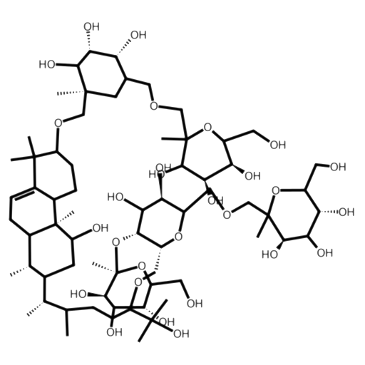 CC(CCC(OC[C@H]1OC(COCC2(C)OC(CO)[C@H](O)C(O)[C@H]2O)[C@H](O)C(O)[C@H]1O[C@@]1(C)OC(CO)[C@H](O)C(O)[C@H]1O)C(C)(C)O)[C@H](C)C1CC(O)[C@]2(C)C3CCC(OC[C@]4(C)CC(COCC5(C)OC(CO)[C@@H](O)[C@@H](O)C5O)[C@@H](O)[C@@H](O)C4O)C(C)(C)C3=CCC2[C@H]1C